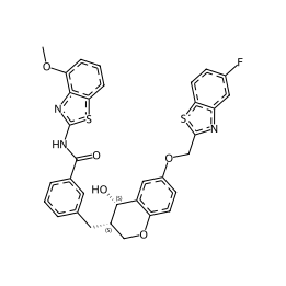 COc1cccc2sc(NC(=O)c3cccc(C[C@H]4COc5ccc(OCc6nc7cc(F)ccc7s6)cc5[C@H]4O)c3)nc12